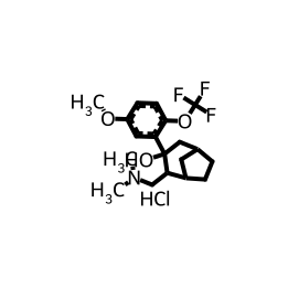 COc1ccc(OC(F)(F)F)c(C2(O)CC3CCC(C3)C2CN(C)C)c1.Cl